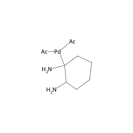 C[C](=O)[Pd]([C](C)=O)[C]1(N)CCCCC1N